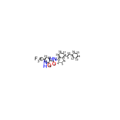 O=C(NC1CCCc2c(/C=C/c3ccccc3)cccc21)c1ccc(C(F)(F)F)[nH]c1=O